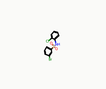 O=S(=O)(Nc1ccccc1Cl)c1cccc(Br)c1